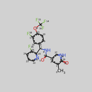 Cc1cc(C(=O)NC(c2ccc(OC(F)(F)F)c(F)c2)c2ncccc2F)c[nH]c1=O